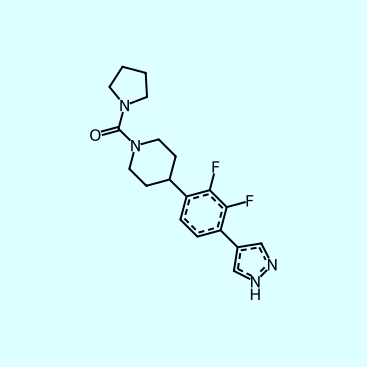 O=C(N1CCCC1)N1CCC(c2ccc(-c3cn[nH]c3)c(F)c2F)CC1